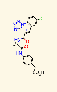 C[C@H](NC(=O)/C=C/c1cc(Cl)ccc1-n1cnnn1)C(=O)Nc1ccc(CC(=O)O)cc1